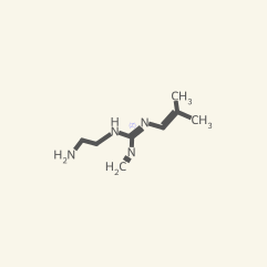 C=N/C(=N\C=C(C)C)NCCN